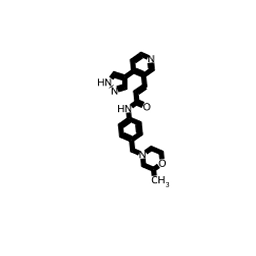 CC1CN(Cc2ccc(NC(=O)/C=C/c3cnccc3-c3cn[nH]c3)cc2)CCO1